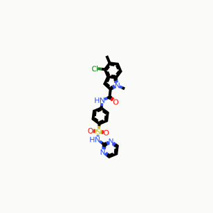 Cc1ccc2c(cc(C(=O)Nc3ccc(S(=O)(=O)Nc4ncccn4)cc3)n2C)c1Cl